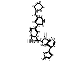 Cc1ccc(-c2ccnc3[nH]c(-c4n[nH]c5ncc(-c6cncc(CN7CCCCC7)c6)cc45)nc23)s1